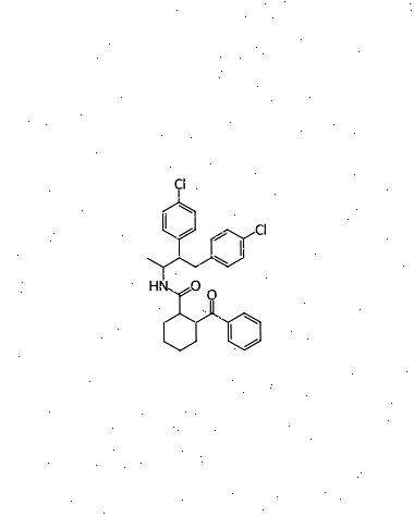 CC(NC(=O)C1CCCCC1C(=O)c1ccccc1)C(Cc1ccc(Cl)cc1)c1ccc(Cl)cc1